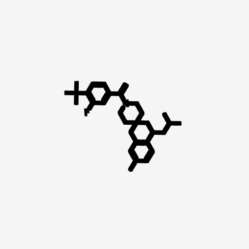 C=C(c1ccc(C(C)(C)C)c(F)c1)N1CCC2(CC1)Cc1cc(C)ccc1C(CC(C)C)C2